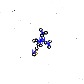 c1ccc(-n2c3ccccc3c3cc(-c4nc(-c5ccc6c(c5)c5ccccc5n6-c5ccccc5)nc(-n5c6ccc7ccccc7c6c6cc(-c7ccc(-c8nc9ccccc9s8)cc7)c7ccccc7c65)n4)ccc32)cc1